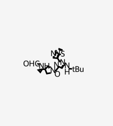 CC(C)(C)CNc1cc(C(=O)N2CCC(C3(NC=O)CC3)CC2)nc(-c2cnn3ccsc23)n1